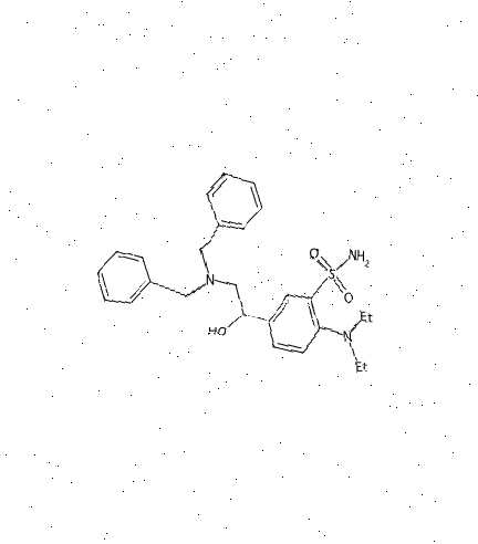 CCN(CC)c1ccc(C(O)CN(Cc2ccccc2)Cc2ccccc2)cc1S(N)(=O)=O